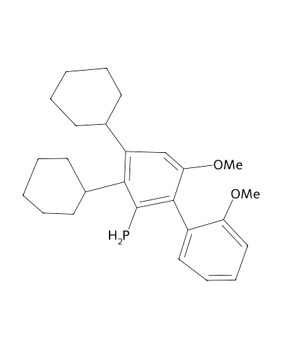 COc1ccccc1-c1c(OC)cc(C2CCCCC2)c(C2CCCCC2)c1P